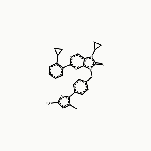 Cn1cc(C(F)(F)F)nc1-c1ccc(Cn2c(=O)n(C3CC3)c3cnc(-c4ccccc4C4CC4)nc32)cc1